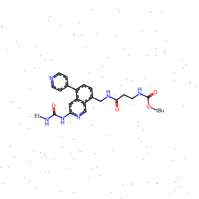 CCNC(=O)Nc1cc2c(-c3ccncc3)ccc(CNC(=O)CCNC(=O)OC(C)(C)C)c2cn1